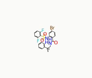 C[C@H](CNC(=O)c1ccc(Br)cc1NS(=O)(=O)c1c(F)cccc1F)c1ccccc1